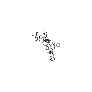 CC(C)(C)OC(=O)N[C@@H](CCOC(F)F)Cc1oc2c(NCc3cccs3)cc(Cl)nc2c1Br